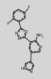 Nc1ncc(-c2cn[nH]c2)cc1-c1nnc(-c2cc(F)ccc2F)o1